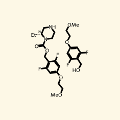 CC[C@@H]1CNCCN1C(=O)OCc1c(F)cc(OCCOC)cc1F.COCCOc1cc(F)c(CO)c(F)c1